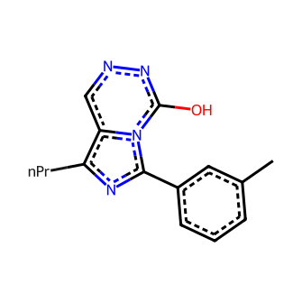 CCCc1nc(-c2cccc(C)c2)n2c(O)nncc12